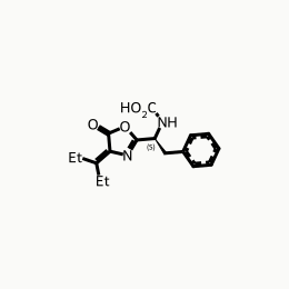 CCC(CC)=C1N=C([C@H](Cc2ccccc2)NC(=O)O)OC1=O